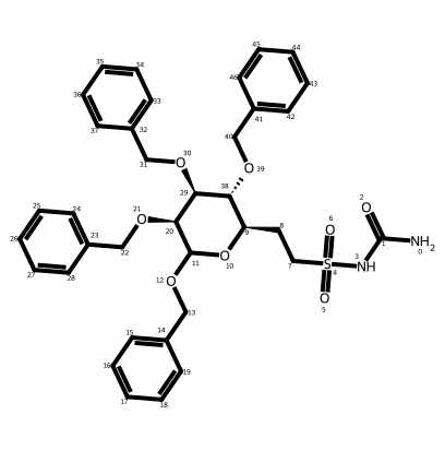 NC(=O)NS(=O)(=O)CC[C@H]1OC(OCc2ccccc2)[C@@H](OCc2ccccc2)[C@@H](OCc2ccccc2)[C@@H]1OCc1ccccc1